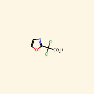 O=C(O)C(Cl)(Cl)c1ncco1